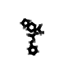 O=C(NC1(C(=O)O)CCC2(CC1)OCCO2)OCc1ccccc1